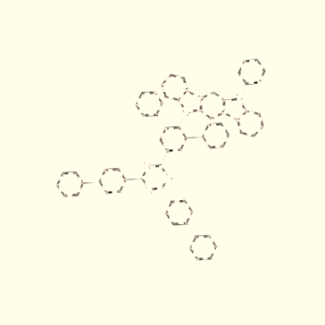 c1ccc(-c2ccc(-c3nc(-c4ccc(-c5ccccc5)cc4)nc(-c4cc(-c5ccccc5)c(-n5c6ccccc6c6cc7c(cc65)c5ccccc5n7-c5ccccc5)c(-c5ccccc5)c4)n3)cc2)cc1